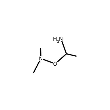 CC(N)ON(C)C